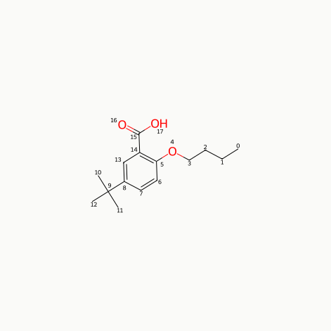 CCCCOc1ccc(C(C)(C)C)cc1C(=O)O